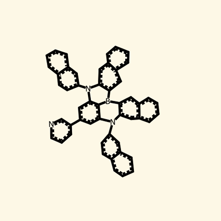 c1cncc(-c2cc3c4c(c2)N(c2ccc5ccccc5c2)c2cc5ccccc5cc2B4c2cc4ccccc4cc2N3c2ccc3ccccc3c2)c1